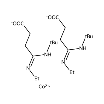 CCN=C(CCC(=O)[O-])NC(C)(C)C.CCN=C(CCC(=O)[O-])NC(C)(C)C.[Co+2]